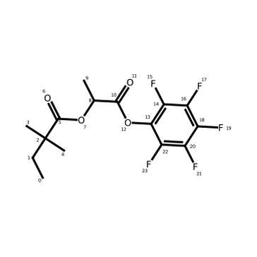 CCC(C)(C)C(=O)OC(C)C(=O)Oc1c(F)c(F)c(F)c(F)c1F